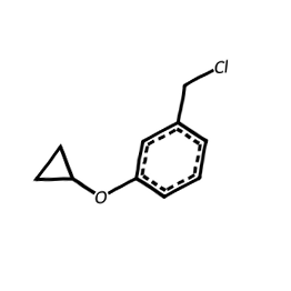 ClCc1cccc(OC2CC2)c1